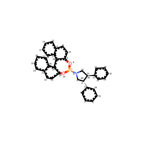 c1ccc([C@@H]2CN(p3oc4ccc5ccccc5c4c4c(ccc5ccccc54)o3)C[C@H]2c2ccccc2)cc1